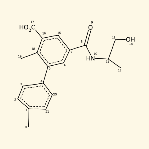 Cc1ccc(-c2cc(C(=O)NC(C)CO)cc(C(=O)O)c2C)cc1